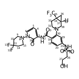 O=C(Nc1cccn(N2CCC(F)(F)CC2)c1=O)c1ccc(NS(=O)(=O)CCO)cc1N1CC[C@]2(C(F)(F)F)C[C@@H]2C1